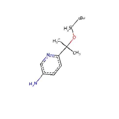 CC(C)(C)[SiH2]OC(C)(C)c1ccc(N)cn1